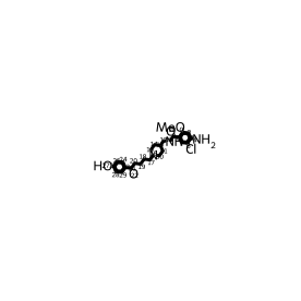 COc1cc(N)c(Cl)cc1C(=O)NCC1CCN(CCCCC(=O)c2ccc(O)cc2)CC1